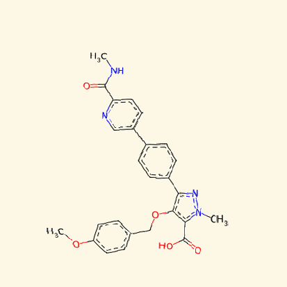 CNC(=O)c1ccc(-c2ccc(-c3nn(C)c(C(=O)O)c3OCc3ccc(OC)cc3)cc2)cn1